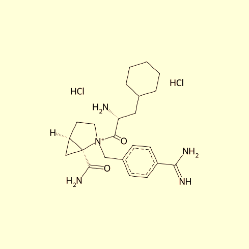 Cl.Cl.N=C(N)c1ccc(C[N+]2(C(=O)[C@H](N)CC3CCCCC3)CC[C@@H]3C[C@@]32C(N)=O)cc1